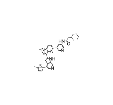 Cc1ccc(-c2cncc3[nH]c(-c4n[nH]c5ccc(-c6cncc(NC(=O)CC7CCCCC7)c6)nc45)cc23)s1